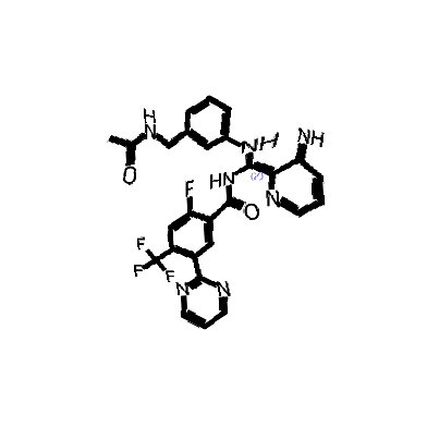 CC(=O)NCc1cccc(N/C(NC(=O)c2cc(-c3ncccn3)c(C(F)(F)F)cc2F)=C2/N=CC=CC2=N)c1